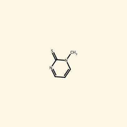 Cn1cccnc1=S